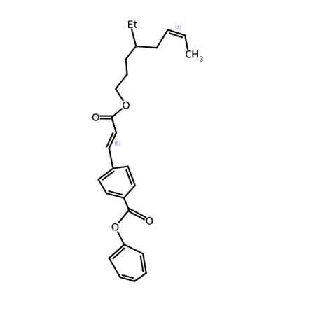 C/C=C\CC(CC)CCCOC(=O)/C=C/c1ccc(C(=O)Oc2ccccc2)cc1